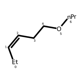 CC/C=C\CCOCCC